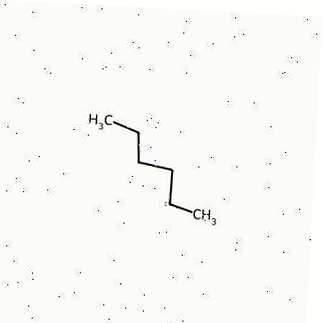 C[C]CCCC